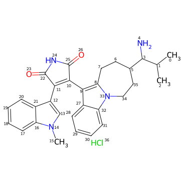 CC(C)C(N)C1CCc2c(C3=C(c4cn(C)c5ccccc45)C(=O)NC3=O)c3ccccc3n2CC1.Cl